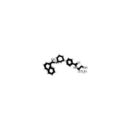 CCOC(=O)[C@H](CO)NC(=O)c1ccc([C@H]2CCC[C@H](N[C@H](C)c3cccc4ccccc34)C2)cc1